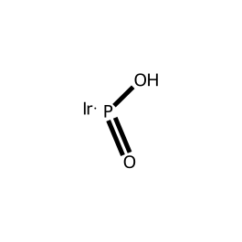 O=PO.[Ir]